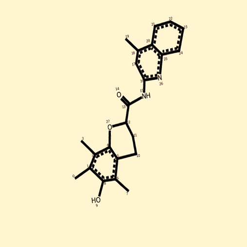 Cc1c(C)c2c(c(C)c1O)CCC(C(=O)Nc1cc(C)c3ccccc3n1)O2